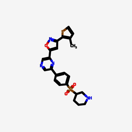 Cc1ccsc1-c1cc(-c2cncc(-c3ccc(S(=O)(=O)C4CCCNC4)cc3)n2)on1